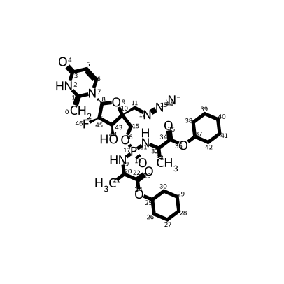 C=C1NC(=O)C=CN1[C@@H]1O[C@](CN=[N+]=[N-])(COP(=O)(NC(C)C(=O)OC2CCCCC2)NC(C)C(=O)OC2CCCCC2)[C@@H](O)[C@H]1F